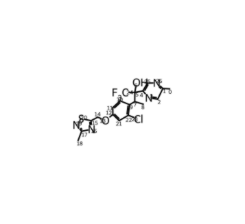 Cc1cnc(C(O)(C(C)c2ccc(OCc3nc(C)ns3)cc2Cl)C(F)(F)F)cn1